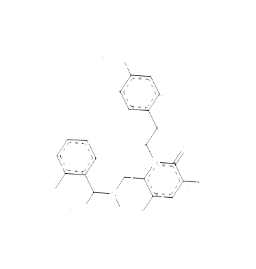 CC(c1ccccc1Cl)N(C)Cc1c(Cl)cc(Cl)c(=O)n1CCc1ccc(C(=O)O)cc1